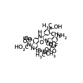 Cc1cc(C(Nc2ccc3c(N(C(=O)O)C(=O)OC(C)(C)C)nccc3c2)C(=O)N(C)Cc2cc(N)cc(F)c2O[C@@H]2COC[C@@H]2O[Si](C)(C)C(C)(C)C)ccc1[C@@H](C)CO